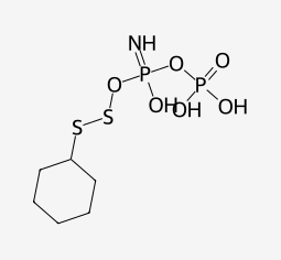 N=P(O)(OSSC1CCCCC1)OP(=O)(O)O